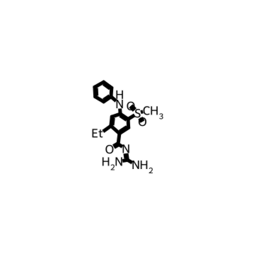 CCc1cc(Nc2ccccc2)c(S(C)(=O)=O)cc1C(=O)N=C(N)N